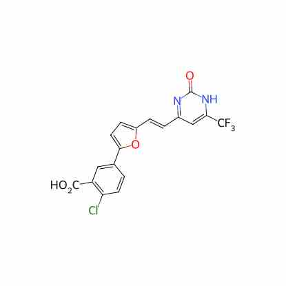 O=C(O)c1cc(-c2ccc(C=Cc3cc(C(F)(F)F)[nH]c(=O)n3)o2)ccc1Cl